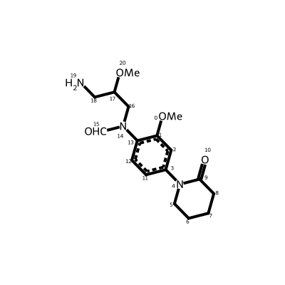 COc1cc(N2CCCCC2=O)ccc1N(C=O)CC(CN)OC